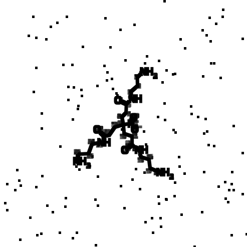 NCCCNC(=O)CCC(CCC(=O)NCCCN)(CCC(=O)NCCCN)[N+](=O)[O-]